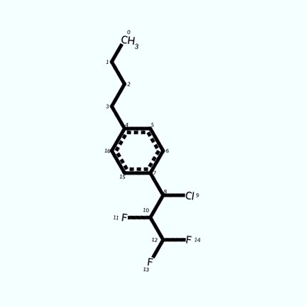 CCCCc1ccc(C(Cl)C(F)C(F)F)cc1